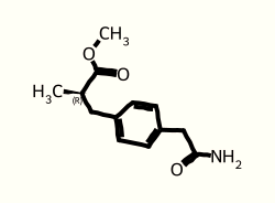 COC(=O)[C@H](C)Cc1ccc(CC(N)=O)cc1